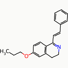 CCCOc1ccc2c(c1)CCN=C2C=Cc1ccccc1